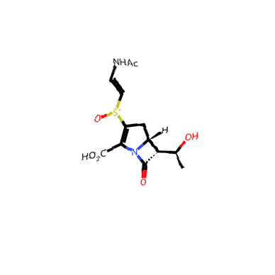 CC(=O)N/C=C/[S+]([O-])C1=C(C(=O)O)N2C(=O)[C@@H]([C@H](C)O)[C@H]2C1